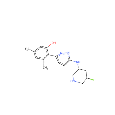 Cc1cc(C(F)(F)F)cc(O)c1-c1ccc(N[C@H]2CNC[C@H](F)C2)nn1